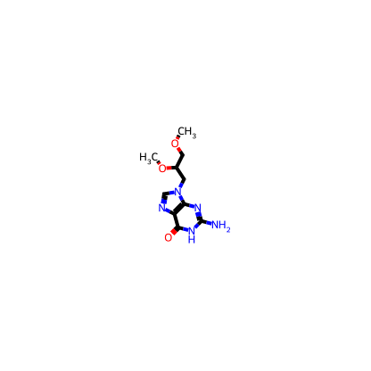 COCC(Cn1cnc2c(=O)[nH]c(N)nc21)OC